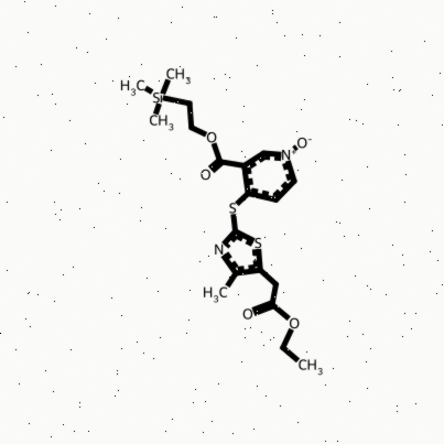 CCOC(=O)Cc1sc(Sc2cc[n+]([O-])cc2C(=O)OCC[Si](C)(C)C)nc1C